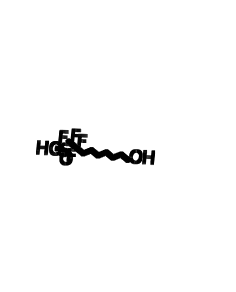 O=S(O)C(F)(F)C(F)(F)CCCCCCCO